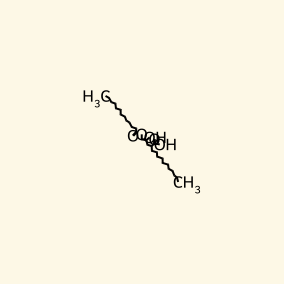 CCCCCCCCCCCCC(=O)OCC(O)CC(CCCCCCCCCCC)C(=O)O